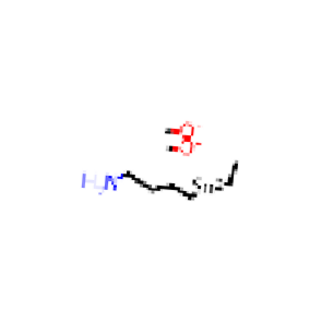 C[CH2][Sn+2][CH2]CCCN.C[O-].C[O-]